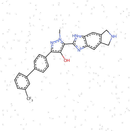 Cn1nc(-c2ccc(-c3cccc(C(F)(F)F)c3)cc2)c(O)c1-c1nc2cc3c(cc2[nH]1)CNC3